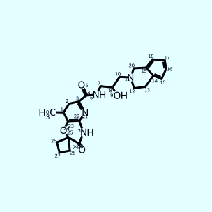 CC1CC(C(=O)NCC(O)CN2CCc3ccccc3C2)=NC2=C1OC1(CCC1)C(=O)N2